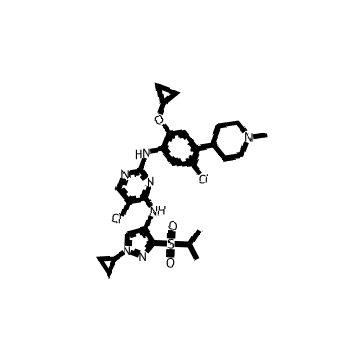 CC(C)S(=O)(=O)c1nn(C2CC2)cc1Nc1nc(Nc2cc(Cl)c(C3CCN(C)CC3)cc2OC2CC2)ncc1Cl